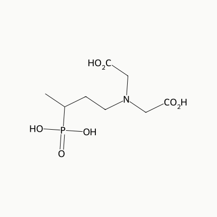 CC(CCN(CC(=O)O)CC(=O)O)P(=O)(O)O